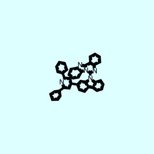 c1ccc(-c2cc(-c3ccc4c5ccccc5n(-c5nc6ccccc6c6nc7ccccc7n56)c4c3)cc(-c3ccccc3)n2)cc1